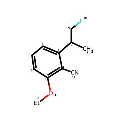 CCOc1cccc([C](C)CF)c1C#N